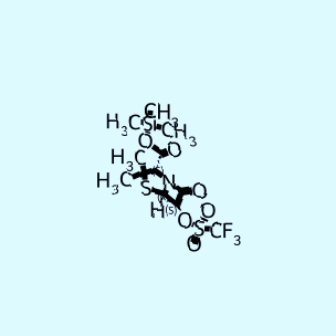 CC1(C)S[C@@H]2[C@@H](OS(=O)(=O)C(F)(F)F)C(=O)N2[C@H]1C(=O)O[Si](C)(C)C